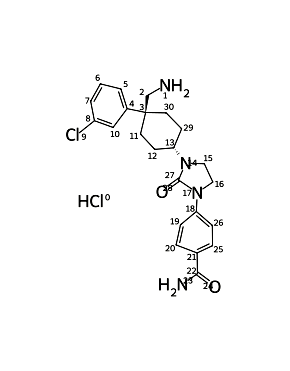 Cl.NC[C@]1(c2cccc(Cl)c2)CC[C@@H](N2CCN(c3ccc(C(N)=O)cc3)C2=O)CC1